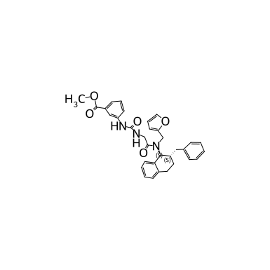 COC(=O)c1cccc(NC(=O)NCC(=O)N(Cc2ccco2)[C@@H]2c3ccccc3CC[C@H]2Cc2ccccc2)c1